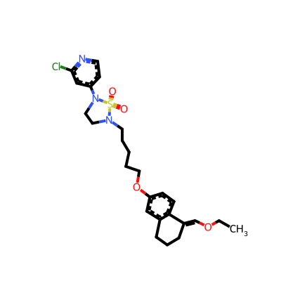 CCO/C=C1\CCCc2cc(OCCCCCN3CCN(c4ccnc(Cl)c4)S3(=O)=O)ccc21